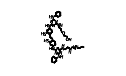 CCCNCCNCCNc1nc(Nc2ccccc2)nc(Nc2ccc(/C=C/c3ccc(Nc4nc(NCCCOCCO)nc(Nc5ccccc5)n4)cc3S)c(S)c2)n1